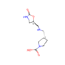 O=C1NC[C@H](CNC[C@@H]2CCN(C(=O)O)C2)O1